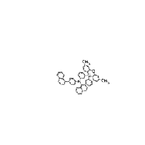 Cc1ccc2c(c1)Oc1cc(C)ccc1[Si]2(c1ccccc1)c1cccc(N(c2ccc(-c3cccc4ccccc34)cc2)c2cccc3ccccc23)c1